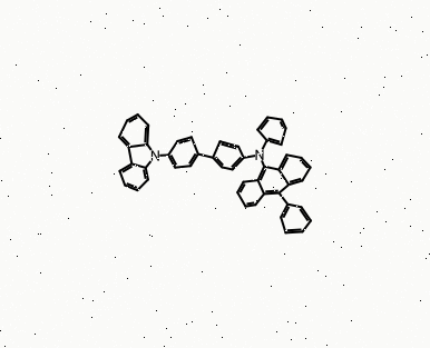 c1ccc(-c2c3ccccc3c(N(c3ccccc3)c3ccc(-c4ccc(-n5c6ccccc6c6ccccc65)cc4)cc3)c3ccccc23)cc1